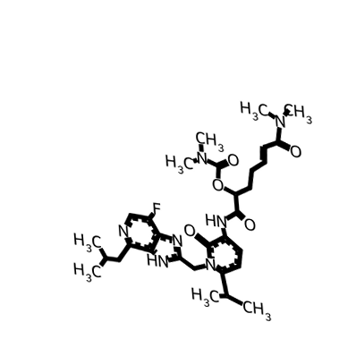 CC(C)Cc1ncc(F)c2nc(Cn3c(C(C)C)ccc(NC(=O)C(CC/C=C/C(=O)N(C)C)OC(=O)N(C)C)c3=O)[nH]c12